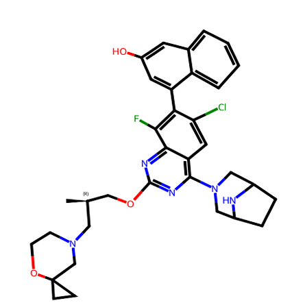 C[C@@H](COc1nc(N2CC3CCC(C2)N3)c2cc(Cl)c(-c3cc(O)cc4ccccc34)c(F)c2n1)CN1CCOC2(CC2)C1